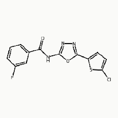 O=C(Nc1nnc(-c2ccc(Cl)s2)o1)c1cccc(F)c1